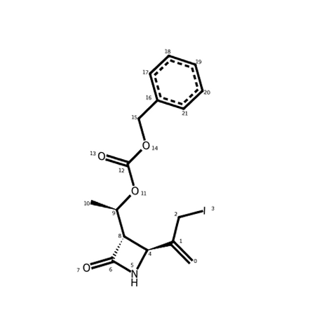 C=C(CI)[C@H]1NC(=O)[C@@H]1[C@@H](C)OC(=O)OCc1ccccc1